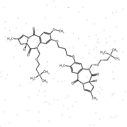 COc1cc2c(cc1OCCCOc1cc3c(cc1C)C(=O)N1C=C(C)C[C@H]1C(=O)N3COCC[Si](C)(C)C)N(COCC[Si](C)(C)C)C(=O)[C@@H]1CC(C)=CN1C2=O